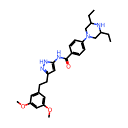 CCC1CN(c2ccc(C(=O)Nc3cc(CCc4cc(OC)cc(OC)c4)n[nH]3)cc2)CC(CC)N1